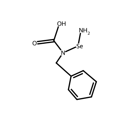 N[Se]N(Cc1ccccc1)C(=O)O